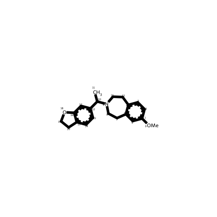 COc1ccc2c(c1)CCN(C(C)c1ccc3c(c1)OCC3)CC2